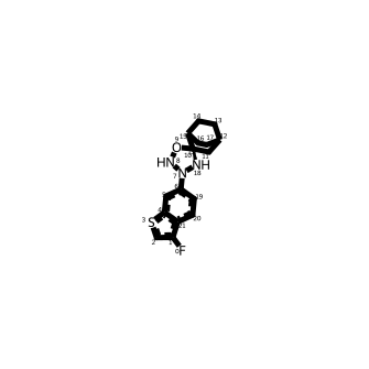 Fc1csc2cc(N3NO[C@]4(CC5CCC4CC5)N3)ccc12